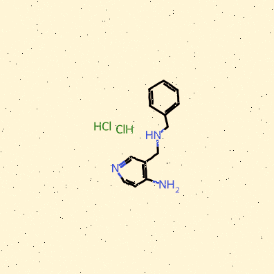 Cl.Cl.Nc1ccncc1CNCc1ccccc1